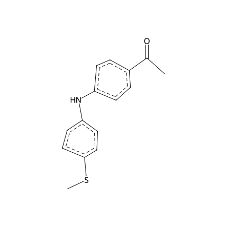 CSc1ccc(Nc2ccc(C(C)=O)cc2)cc1